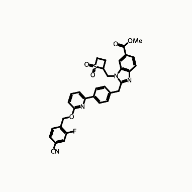 COC(=O)c1ccc2nc(Cc3ccc(-c4cccc(OCc5ccc(C#N)cc5F)n4)cc3)n(CC3CCS3(=O)=O)c2c1